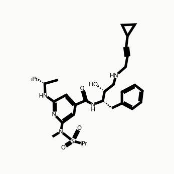 CC(C)[C@H](C)Nc1cc(C(=O)N[C@@H](Cc2ccccc2)[C@H](O)CNCC#CC2CC2)cc(N(C)S(=O)(=O)C(C)C)n1